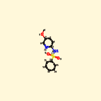 COc1ccc(NS(=O)(=O)c2ccccc2)nc1